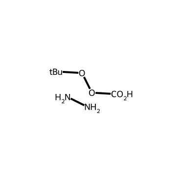 CC(C)(C)OOC(=O)O.NN